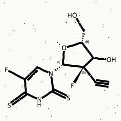 C#C[C@@]1(F)C(O)[C@@H](CO)O[C@H]1n1cc(F)c(=S)[nH]c1=S